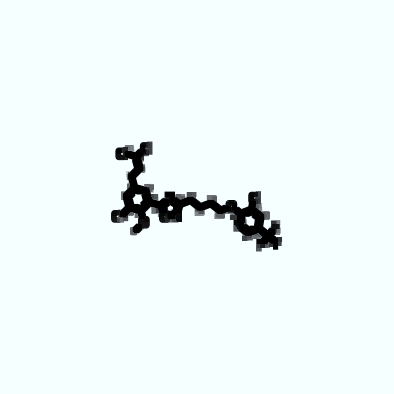 COc1c(Cl)cc(CC=C(Cl)Cl)cc1-c1nc(CCCCOc2ncc(C(F)(F)F)cc2Cl)no1